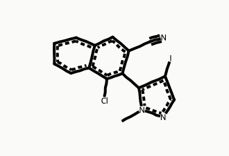 Cn1ncc(I)c1-c1c(C#N)cc2ccccc2c1Cl